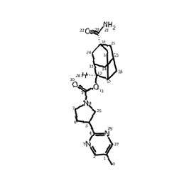 Cc1cnc(C2CCN(C(=O)O[C@H]3C4CC5CC3C[C@](C(N)=O)(C5)C4)C2)nc1